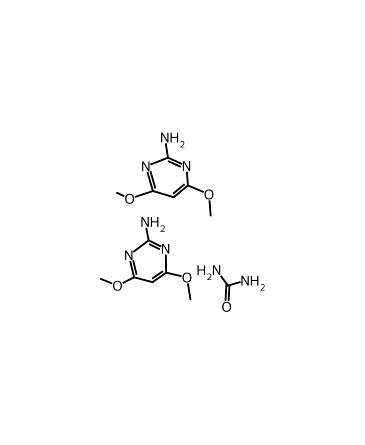 COc1cc(OC)nc(N)n1.COc1cc(OC)nc(N)n1.NC(N)=O